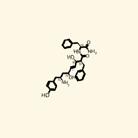 NC(=O)[C@H](Cc1ccccc1)NC(=O)[C@@H](Cc1ccccc1)[C@H](O)/C=C/[C@@H](O)C[C@@H](N)Cc1ccc(O)cc1